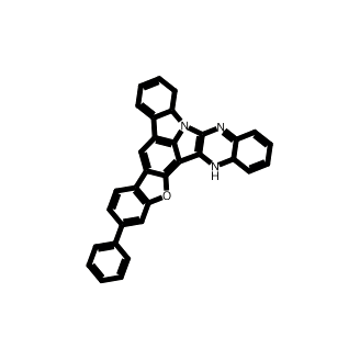 C1=CCC2C(=C1)c1cc3c4ccc(-c5ccccc5)cc4oc3c3c4c(n2c13)N=C1C=CC=CC1N4